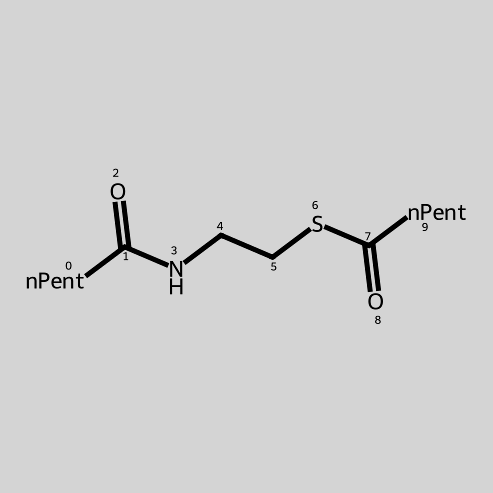 CCCCCC(=O)NCCSC(=O)CCCCC